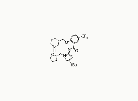 CC(C)(C)c1cn(C[C@H]2CCCO2)/c(=N/C(=O)c2cc(C(F)(F)F)ccc2OC[C@@H]2CCCNC2)s1